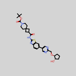 CC(C)(C)OC(=O)N1CCC2(CC1)CC(C(=O)Nc1nc3ccc(-c4cnc(CO[C@H]5CCC[C@@H]5O)nc4)cc3s1)C2